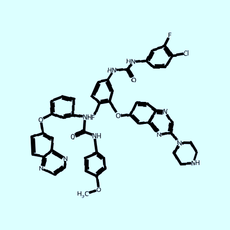 COc1ccc(NC(=O)Nc2cccc(Oc3ccc4nccnc4c3)c2)cc1.O=C(Nc1ccc(Cl)c(F)c1)Nc1ccc(F)c(Oc2ccc3ncc(N4CCNCC4)nc3c2)c1